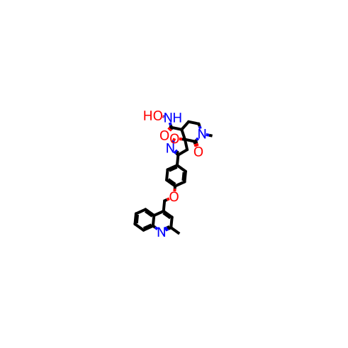 Cc1cc(COc2ccc(C3=NOC4(C3)C(=O)N(C)CCC4C(=O)NO)cc2)c2ccccc2n1